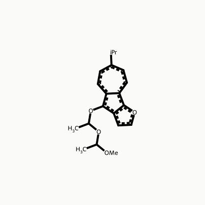 COC(C)OC(C)Oc1c2ccc(C(C)C)ccc-2c2occc12